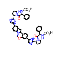 O=C(O)NC(C(=O)N1CCC[C@H]1c1ncc(-c2ccc3c(c2)OCn2c-3cc3cc(-c4cnc([C@@H]5CCCN5C(=O)C(NC(=O)O)c5ccccc5)[nH]4)ccc32)[nH]1)c1ccccc1